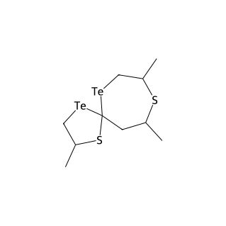 CC1C[Te]C2(CC(C)S1)SC(C)C[Te]2